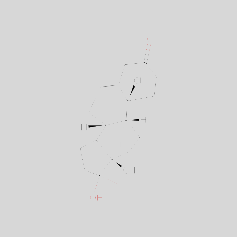 C[C@]12CCC(=O)CC1CC[C@@H]1[C@H]2CC[C@@]2(C)[C@H]1CCC2(O)O